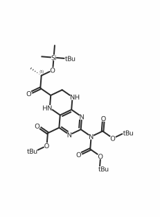 C[C@H](O[Si](C)(C)C(C)(C)C)C(=O)C1CNc2nc(N(C(=O)OC(C)(C)C)C(=O)OC(C)(C)C)nc(C(=O)OC(C)(C)C)c2N1